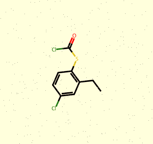 CCc1cc(Cl)ccc1SC(=O)Cl